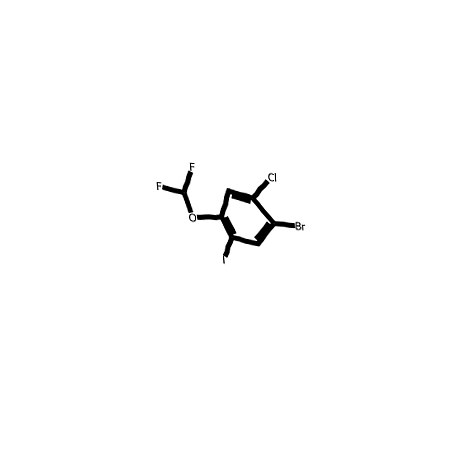 FC(F)Oc1cc(Cl)c(Br)cc1I